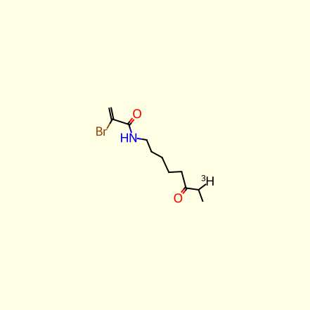 [3H]C(C)C(=O)CCCCCNC(=O)C(=C)Br